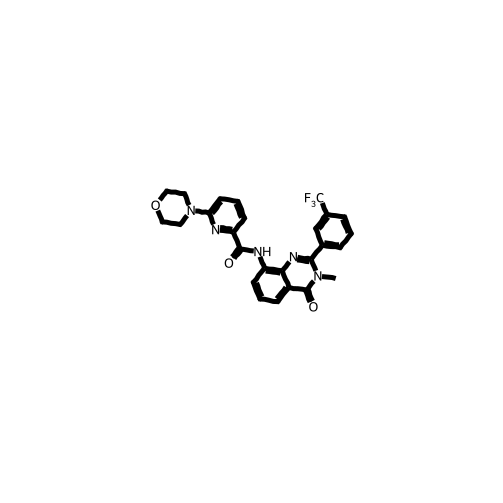 Cn1c(-c2cccc(C(F)(F)F)c2)nc2c(NC(=O)c3cccc(N4CCOCC4)n3)cccc2c1=O